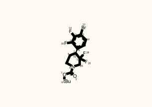 CC(C)(C)OC(=O)N1CC[C@@H](c2ccc(Br)c(F)c2F)C(F)(F)C1